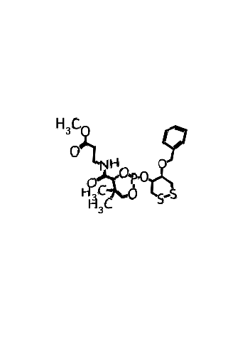 COC(=O)CCNC(=O)C1OP(OC2CSSCC2OCc2ccccc2)OCC1(C)C